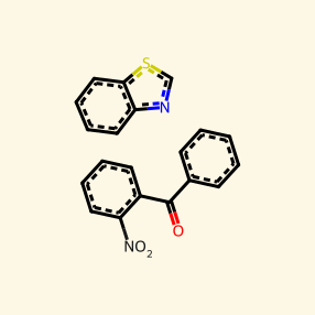 O=C(c1ccccc1)c1ccccc1[N+](=O)[O-].c1ccc2scnc2c1